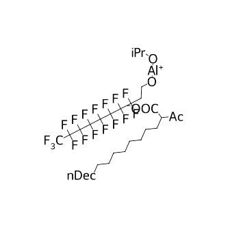 CC(C)[O][Al+][O]CCC(F)(F)C(F)(F)C(F)(F)C(F)(F)C(F)(F)C(F)(F)C(F)(F)C(F)(F)F.CCCCCCCCCCCCCCCCCCC(C(C)=O)C(=O)[O-]